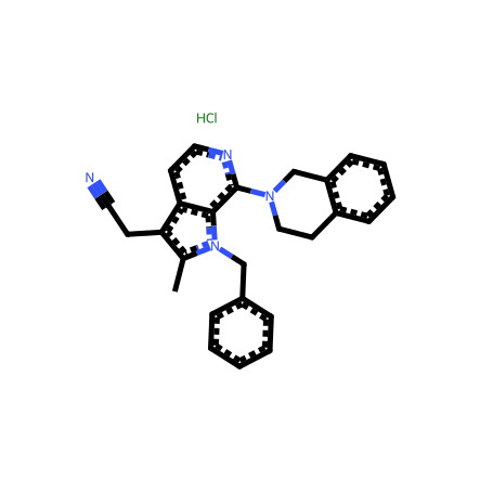 Cc1c(CC#N)c2ccnc(N3CCc4ccccc4C3)c2n1Cc1ccccc1.Cl